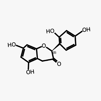 O=C1Cc2c(O)cc(O)cc2O[C@H]1c1ccc(O)cc1O